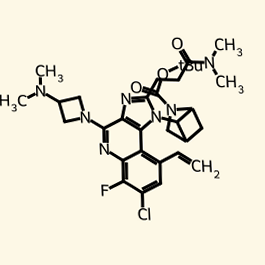 C=Cc1cc(Cl)c(F)c2nc(N3CC(N(C)C)C3)c3nc(CCC(=O)N(C)C)n(C4C5CC4N(C(=O)OC(C)(C)C)C5)c3c12